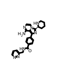 Nc1nccn2c([C@@H]3CCCCN3)nc(-c3ccc(C(=O)NCc4cccnn4)cc3)c12